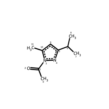 CC(=O)n1nc(C(C)C)cc1C